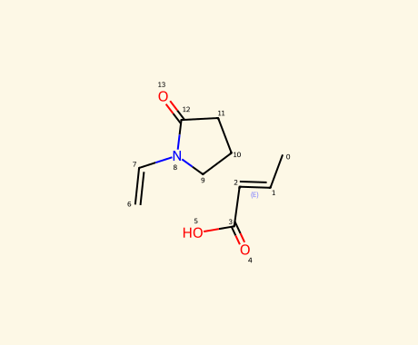 C/C=C/C(=O)O.C=CN1CCCC1=O